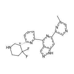 Cc1cncc(-c2cc3[nH]ncc3c(-c3cccc([C@H]4CNCCC4(F)F)n3)n2)n1